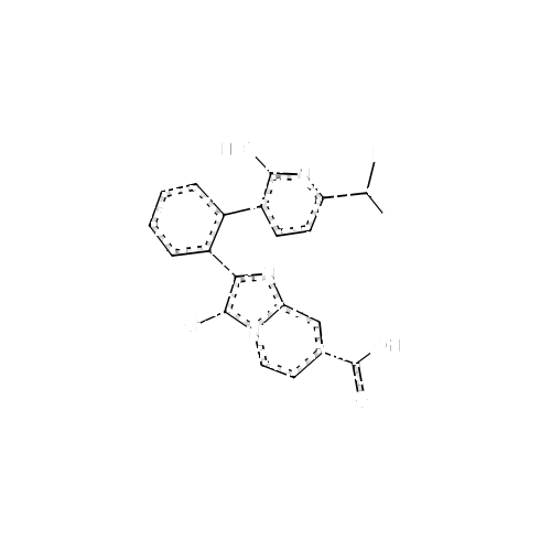 Cc1nc(C(F)F)ccc1-c1ccccc1-c1nc2cc(C(=O)O)ccn2c1Cl